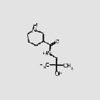 CC(C)(O)CNC(=O)C1CCCNC1